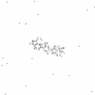 Cc1n[nH]c(Cl)c1NC(=O)c1cc(F)c(-c2cc(C(C)(C)O)n(C)n2)cc1O